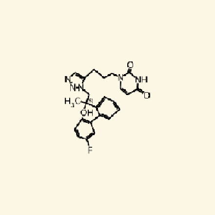 C[C@@](O)(Cn1nncc1CCCn1ccc(=O)[nH]c1=O)c1ccccc1-c1cccc(F)c1